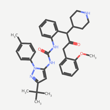 COc1ccccc1CC(=O)C(c1ccccc1NC(=O)Nc1cc(C(C)(C)C)nn1-c1ccc(C)cc1)C1CCNCC1